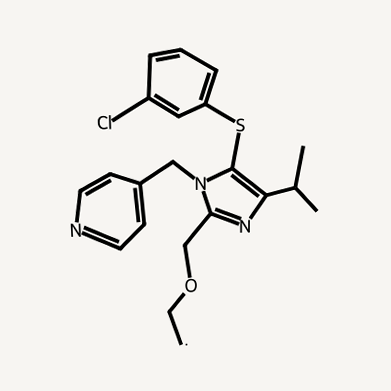 [CH2]COCc1nc(C(C)C)c(Sc2cccc(Cl)c2)n1Cc1ccncc1